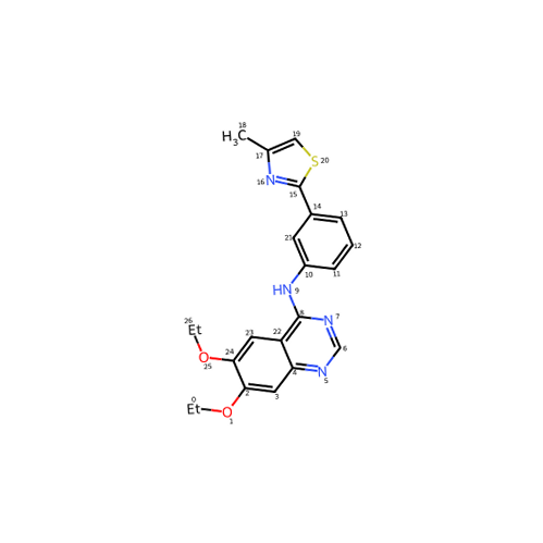 CCOc1cc2ncnc(Nc3cccc(-c4nc(C)cs4)c3)c2cc1OCC